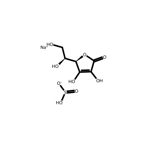 O=C1O[C@H]([C@@H](O)CO)C(O)=C1O.O=S([O-])O.[Na+]